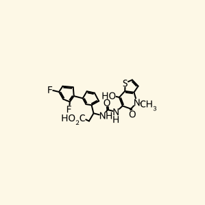 Cn1c(=O)c(NC(=O)NC(CC(=O)O)c2cccc(-c3ccc(F)cc3F)c2)c(O)c2sccc21